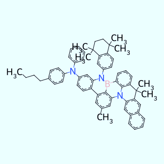 CCCCc1ccc(N(c2ccccc2)c2ccc3c(c2)N(c2ccc4c(c2)C(C)(C)CCC4(C)C)B2c4cccc5c4N(c4cc6ccccc6cc4C5(C)C)c4cc(C)cc-3c42)cc1